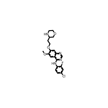 COc1cc2c(Nc3ccc(Cl)cc3F)ncnc2cc1OCCC1COCCN1